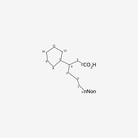 CCCCCCCCCCCCC(CC(=O)O)C1CCCCC1